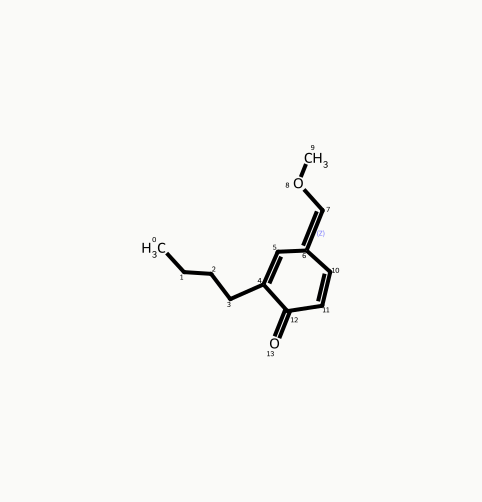 CCCCC1=C/C(=C\OC)C=CC1=O